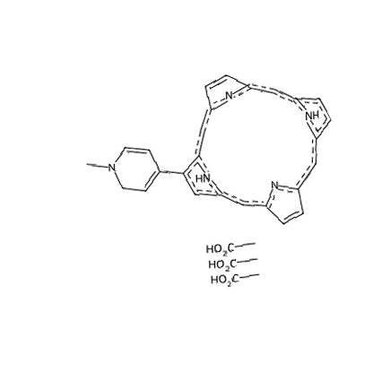 CC(=O)O.CC(=O)O.CC(=O)O.CN1C=CC(c2cc3cc4nc(cc5ccc(cc6nc(cc2[nH]3)C=C6)[nH]5)C=C4)=CC1